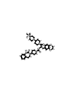 CS(=O)(=O)N1CCN(C2CCN(C(=O)[C@@H](Cc3ccc4c(c3)OCCO4)OC(=O)N3CCC(N4CCc5ccccc5NC4=O)CC3)CC2)CC1